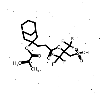 C=C(C)C(=O)OC1(CCC(=O)OC(CS(=O)(=O)O)(C(F)(F)F)C(F)(F)F)CC2CCCC(C2)C1